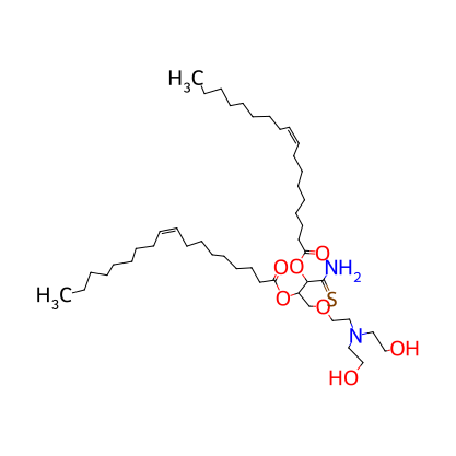 CCCCCCCC/C=C\CCCCCCCC(=O)OC(COCCN(CCO)CCO)C(OC(=O)CCCCCCC/C=C\CCCCCCCC)C(N)=S